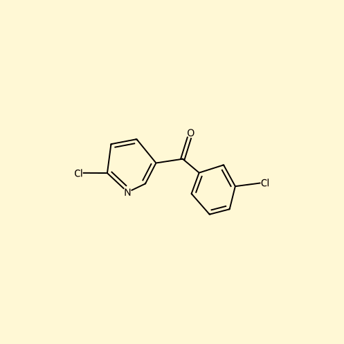 O=C(c1ccc(Cl)nc1)c1cccc(Cl)c1